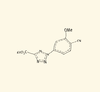 CCOC(=O)c1nnn(-c2ccc(C#N)c(OC)c2)n1